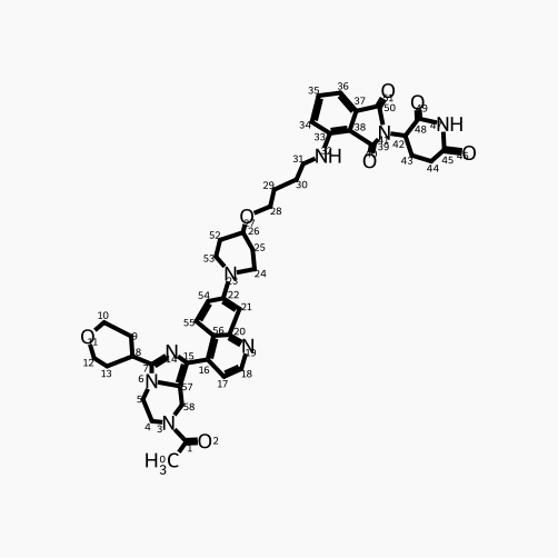 CC(=O)N1CCn2c(C3CCOCC3)nc(-c3ccnc4cc(N5CCC(OCCCCNc6cccc7c6C(=O)N(C6CCC(=O)NC6=O)C7=O)CC5)ccc34)c2C1